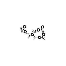 [N-]=[N+]=C(c1ccccc1)c1ccc(COC(=O)c2cc(C(=O)OCc3ccc(C(=[N+]=[N-])c4ccccc4)cc3)cc(C(=O)OCc3ccc(C([NH+]=[N-])c4ccccc4)cc3)c2)cc1